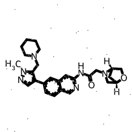 Cn1ncc(-c2ccc3cnc(NC(=O)CN4C[C@@H]5C[C@H]4CO5)cc3c2)c1CN1CCCCC1